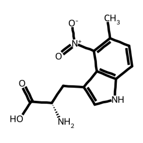 Cc1ccc2[nH]cc(C[C@H](N)C(=O)O)c2c1[N+](=O)[O-]